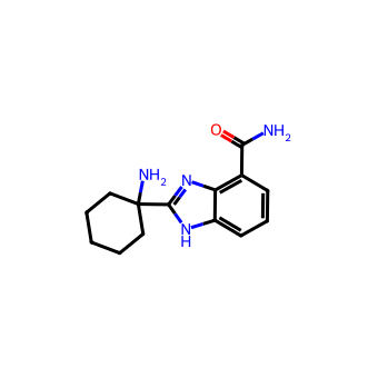 NC(=O)c1cccc2[nH]c(C3(N)CCCCC3)nc12